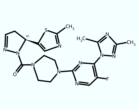 Cc1nc(C)n(-c2nc(N3CCN(C(=O)N4N=CC[C@H]4c4cnc(C)s4)CC3)ncc2F)n1